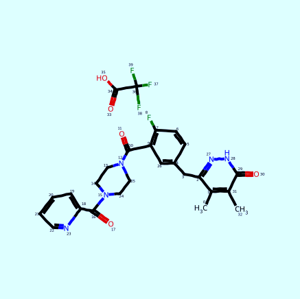 Cc1c(Cc2ccc(F)c(C(=O)N3CCN(C(=O)c4ccccn4)CC3)c2)n[nH]c(=O)c1C.O=C(O)C(F)(F)F